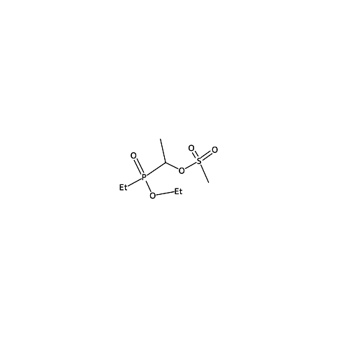 CCOP(=O)(CC)C(C)OS(C)(=O)=O